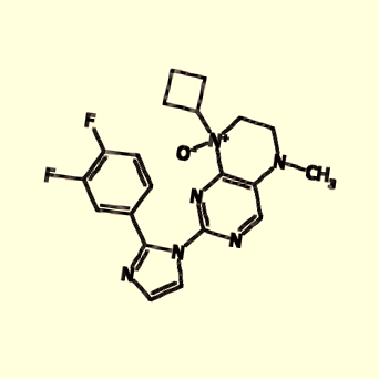 CN1CC[N+]([O-])(C2CCC2)c2nc(-n3ccnc3-c3ccc(F)c(F)c3)ncc21